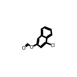 O=[C]Oc1cc(Cl)c2ccccc2c1